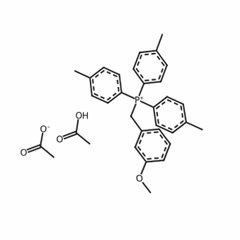 CC(=O)O.CC(=O)[O-].COc1cccc(C[P+](c2ccc(C)cc2)(c2ccc(C)cc2)c2ccc(C)cc2)c1